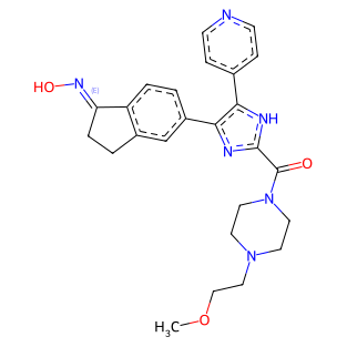 COCCN1CCN(C(=O)c2nc(-c3ccc4c(c3)CC/C4=N\O)c(-c3ccncc3)[nH]2)CC1